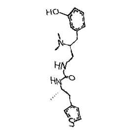 C[C@@H](Cc1ccsc1)NC(=O)NC[C@H](Cc1cccc(O)c1)N(C)C